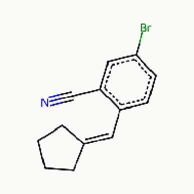 N#Cc1cc(Br)ccc1C=C1CCCC1